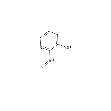 [CH]=[SH]c1ncccc1O